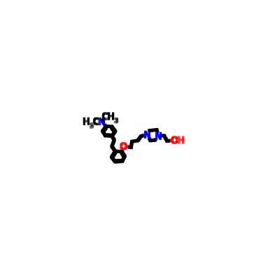 CN(C)c1ccc(CCc2ccccc2OCCCCN2CCN(CCO)CC2)cc1